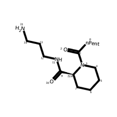 CCCCCC(=O)N1CCCC[C@H]1C(=O)NCCCN